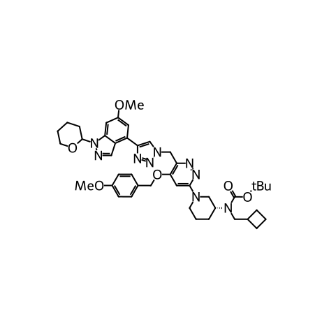 COc1ccc(COc2cc(N3CCC[C@@H](N(CC4CCC4)C(=O)OC(C)(C)C)C3)nnc2Cn2cc(-c3cc(OC)cc4c3cnn4C3CCCCO3)nn2)cc1